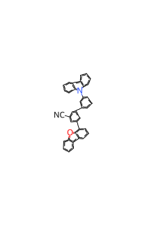 N#Cc1cc(-c2cccc(-n3c4ccccc4c4ccccc43)c2)cc(-c2cccc3c2oc2ccccc23)c1